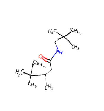 CC(CC(=O)NCC(C)(C)C)C(C)(C)C